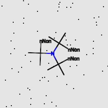 CCCCCCCCCC(C)(C)N(C(C)(C)CCCCCCCCC)C(C)(C)CCCCCCCCC